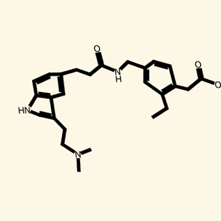 CCc1cc(CNC(=O)CCc2ccc3[nH]cc(CCN(C)C)c3c2)ccc1CC(=O)O